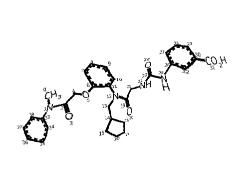 CN(C(=O)COc1ccccc1N(CC1CCCC1)C(=O)CNC(=O)Nc1cccc(C(=O)O)c1)c1ccccc1